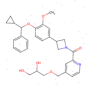 COc1cc(C2CN(C(=O)c3cc(COCC(O)CO)ccn3)C2)ccc1OC(c1ccccc1)C1CC1